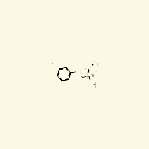 CCOP(=O)(COc1cccc(O)c1)OCC